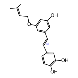 CC(C)=CCOc1cc(O)cc(/C=C/c2ccc(O)c(O)c2)c1